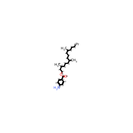 CC(C)CCCC(C)CCCC(C)CCCC(C)CCOC(=O)c1ccc(N)cc1